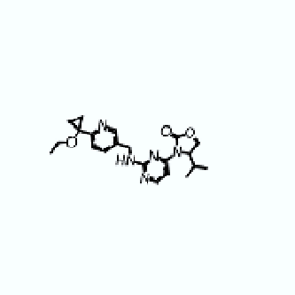 CCOC1(c2ccc(CNc3nccc(N4C(=O)OCC4C(C)C)n3)cn2)CC1